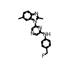 Cc1ccc2nc(C)n(-c3cncc(Nc4ccc(CF)cc4)n3)c2c1